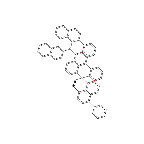 c1ccc(-c2ccc3ccccc3c2N(c2ccc3ccccc3c2)c2ccc3c4c(cccc24)C2(c4ccccc4-c4ccc(-c5ccccc5)c5cccc2c45)c2ccccc2-3)cc1